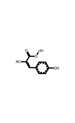 CCCOC(=O)C(C#N)=Cc1ccc(O)cc1